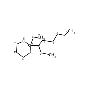 CCCCCC(CC)[Si]1(CC)CCCCO1